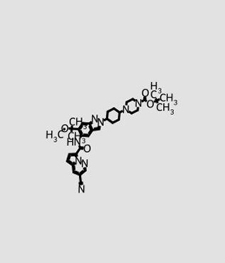 COC(C)(C)c1cc2nn(C3CCC(N4CCN(C(=O)OC(C)(C)C)CC4)CC3)cc2cc1NC(=O)c1ccc2cc(C#N)cnn12